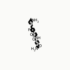 CC(C)(N)C(=O)N1CCN(C(=O)Nc2ccn(-c3ccc(CCN4CCC5CC5(N)C4)c(F)c3)c(=O)n2)CC1